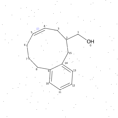 OCC1C/C=C\C[CH]Cc2ccccc2C1